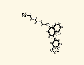 BrCCCCCCOc1ccc(-c2ccc3c(c2)OCO3)c2ccccc12